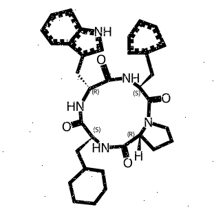 O=C1N[C@H](Cc2c[nH]c3ccccc23)C(=O)N[C@@H](Cc2ccccc2)C(=O)N2CCC[C@@H]2C(=O)N[C@H]1CC1CCCCC1